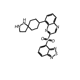 O=S(=O)(c1cnc2cccc(C3CCC4(CCNN4)CC3)c2n1)c1cccc2nsnc12